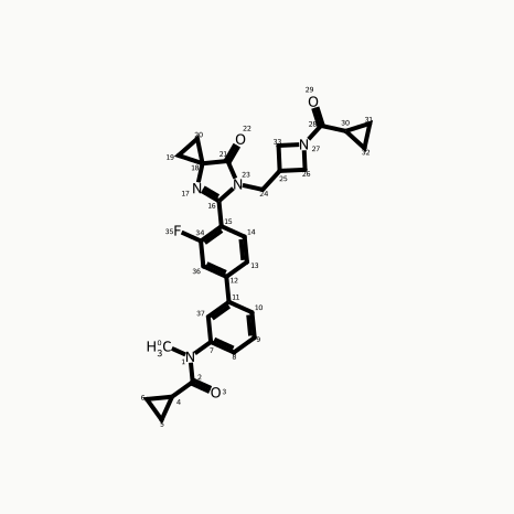 CN(C(=O)C1CC1)c1cccc(-c2ccc(C3=NC4(CC4)C(=O)N3CC3CN(C(=O)C4CC4)C3)c(F)c2)c1